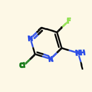 CNc1nc(Cl)ncc1F